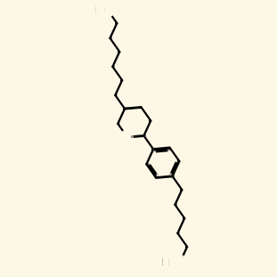 CCCCCCCC1CCC(c2ccc(CCCCCC)cc2)OC1